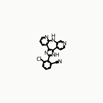 N#Cc1cccc(Cl)c1-c1nc2c([nH]1)-c1ccncc1Nc1ncccc1-2